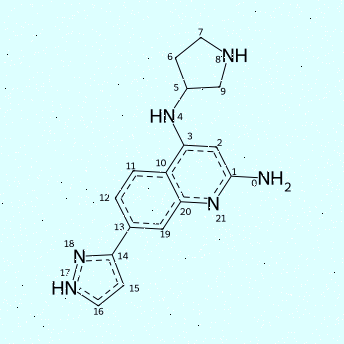 Nc1cc(NC2CCNC2)c2ccc(-c3cc[nH]n3)cc2n1